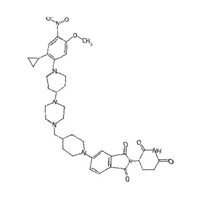 COc1cc(N2CCC(N3CCN(CC4CCN(c5ccc6c(c5)C(=O)N(C5CCC(=O)NC5=O)C6=O)CC4)CC3)CC2)c(C2CC2)cc1[N+](=O)[O-]